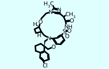 Cc1nc2cn1CCO[C@@H]1CC[C@H]1CN1C[C@@]3(CCCc4cc(Cl)ccc43)COc3ccc(cc31)S(=O)(=O)NC(=O)C2C